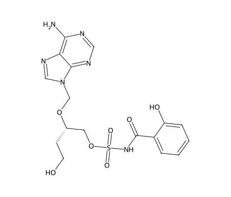 Nc1ncnc2c1ncn2CO[C@@H](CCO)COS(=O)(=O)NC(=O)c1ccccc1O